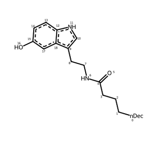 CCCCCCCCCCCCCC(=O)NCCc1c[nH]c2ccc(O)cc12